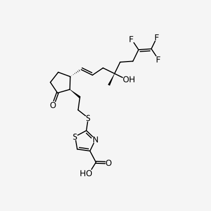 C[C@@](O)(C/C=C/[C@H]1CCC(=O)[C@@H]1CCSc1nc(C(=O)O)cs1)CCC(F)=C(F)F